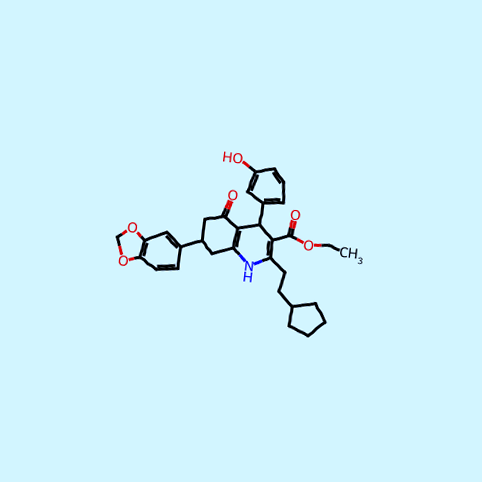 CCOC(=O)C1=C(CCC2CCCC2)NC2=C(C(=O)CC(c3ccc4c(c3)OCO4)C2)C1c1cccc(O)c1